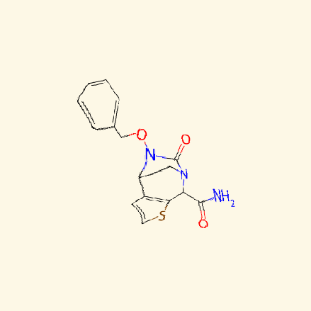 NC(=O)C1c2sccc2C2CN1C(=O)N2OCc1ccccc1